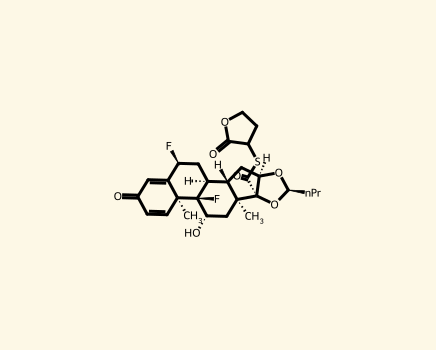 CCC[C@@H]1O[C@@H]2C[C@H]3[C@@H]4C[C@H](F)C5=CC(=O)C=C[C@]5(C)[C@@]4(F)[C@@H](O)C[C@]3(C)[C@]2(C(=O)SC2CCOC2=O)O1